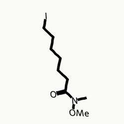 CON(C)C(=O)CCCCCCI